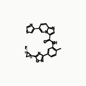 Cc1ccc(-c2noc([C@H]3C[C@@H]3F)n2)cc1NC(=O)c1cnc2ccc(-c3cscn3)cn12